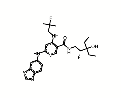 CCC(O)(CC)[C@H](F)CNC(=O)c1cnc(Nc2ccc3ncsc3c2)cc1NCC(C)(C)F